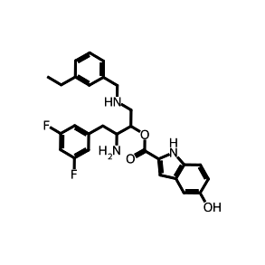 CCc1cccc(CNCC(OC(=O)c2cc3cc(O)ccc3[nH]2)C(N)Cc2cc(F)cc(F)c2)c1